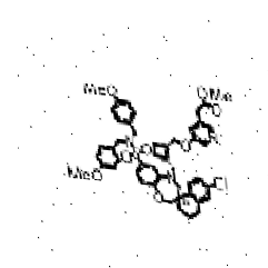 COC(=O)Cc1cncc(OC[C@@H]2CC[C@H]2CN2C[C@@]3(CCCc4cc(Cl)ccc43)COc3ccc(S(=O)(=O)N(Cc4ccc(OC)cc4)Cc4ccc(OC)cc4)cc32)c1